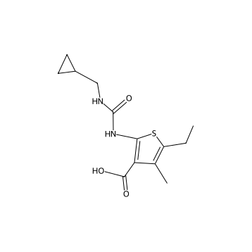 CCc1sc(NC(=O)NCC2CC2)c(C(=O)O)c1C